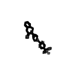 NC(=O)c1cnc(N2CC3C(C2)C3N2Cc3ccccc3CC2=O)nc1